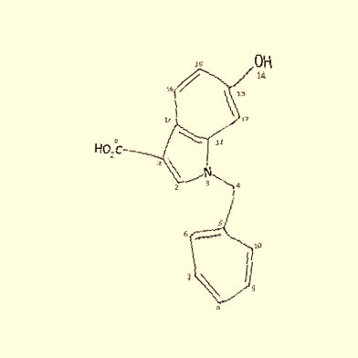 O=C(O)c1cn(Cc2ccccc2)c2cc(O)ccc12